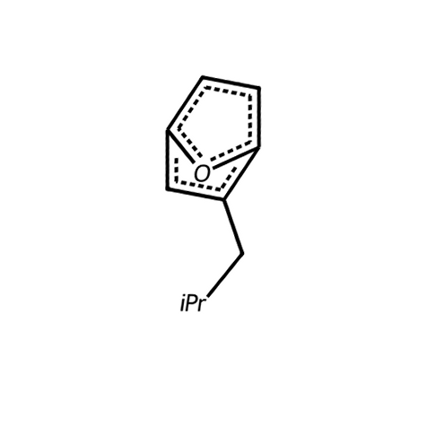 CC(C)Cc1cc2ccc1o2